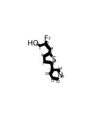 OC/C(F)=C\c1ccc(-c2cccnc2)s1